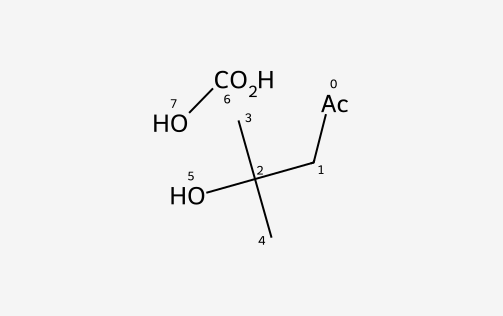 CC(=O)CC(C)(C)O.O=C(O)O